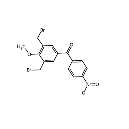 COc1c(CBr)cc(C(=O)c2ccc([N+](=O)[O-])cc2)cc1CBr